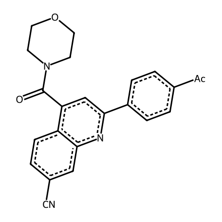 CC(=O)c1ccc(-c2cc(C(=O)N3CCOCC3)c3ccc(C#N)cc3n2)cc1